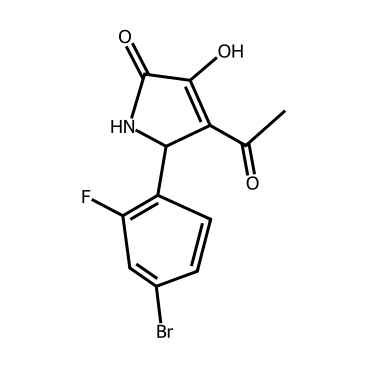 CC(=O)C1=C(O)C(=O)NC1c1ccc(Br)cc1F